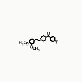 COc1ccc(CCN2CCC(C(=O)c3ccc(F)cc3)CC2)cc1OC